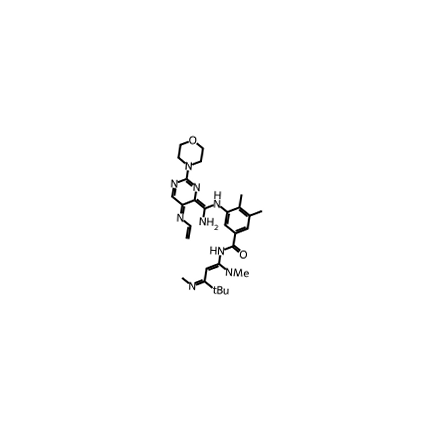 C=C/N=C1/C=NC(N2CCOCC2)=N/C1=C(/N)Nc1cc(C(=O)N/C(=C/C(=N\C)C(C)(C)C)NC)cc(C)c1C